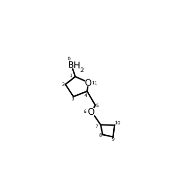 BC1CCC(COC2CCC2)O1